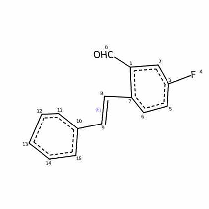 O=Cc1cc(F)ccc1/C=C/c1ccccc1